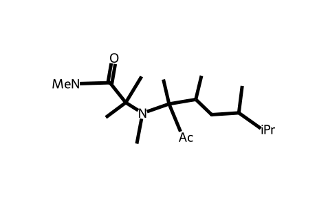 CNC(=O)C(C)(C)N(C)C(C)(C(C)=O)C(C)CC(C)C(C)C